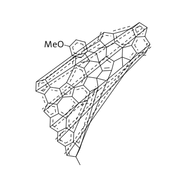 COc1ccc(CC23C4=C5C6=C2C2(C)c7c8c9c%10c(c%11c%12c%13c(c%14c%15c%16c(c%17c%18c%19c(c2c2c7c7c9c9c%20c%10c%12c%10c%12c%13c%15c%13c%15c%16c%18c%16c%18c%19c2c2c7c9c7c(c%10%20)c(c%12%13)c(c%15%16)c7c2%18)C%173C)C4%14C)C5%11C)C68C)cc1